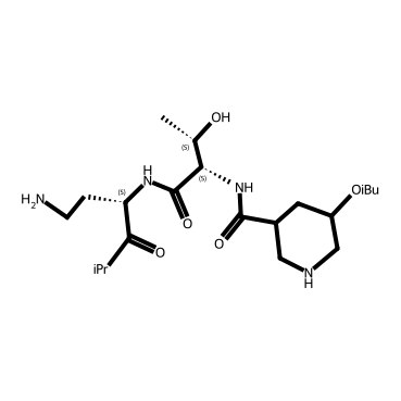 CC(C)COC1CNCC(C(=O)N[C@H](C(=O)N[C@@H](CCN)C(=O)C(C)C)[C@H](C)O)C1